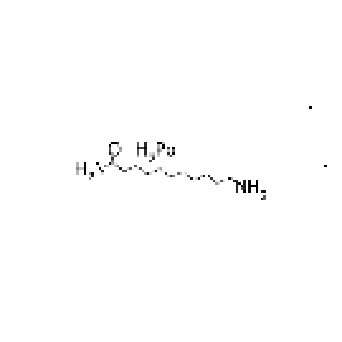 NCCCCCCCCCCC(N)=O.[PoH2]